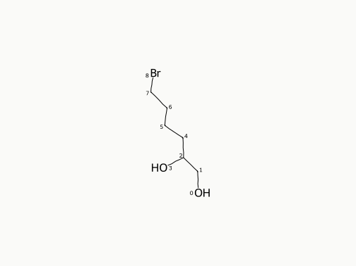 OCC(O)CCCCBr